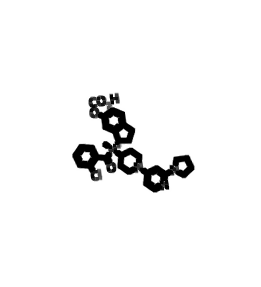 C[N+](C(=O)c1ccccc1Cl)(C1CCN(c2ccnc(N3CCCC3)c2)CC1)[C@@H]1CCc2ccc(OC(=O)O)cc21